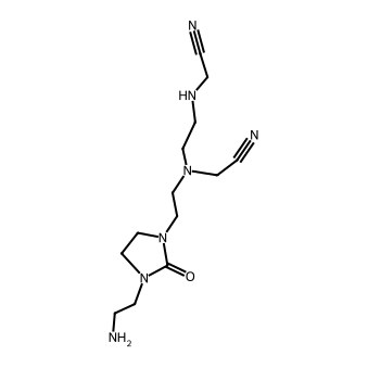 N#CCNCCN(CC#N)CCN1CCN(CCN)C1=O